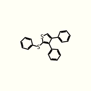 c1ccc(Sc2scc(-c3ccccc3)c2-c2ccccc2)cc1